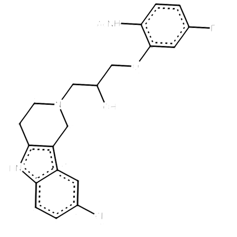 CC(=O)Nc1ccc(F)cc1OCC(O)CN1CCc2[nH]c3ccc(Cl)cc3c2C1